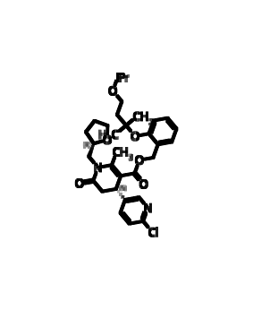 CC1=C(C(=O)OCc2ccccc2OC(C)(C)CCOC(C)C)[C@H](c2ccc(Cl)nc2)CC(=O)N1C[C@H]1CCCO1